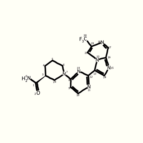 NC(=O)[C@H]1CCCN(c2ccnc(-c3cnc4cnc(C(F)(F)F)cn34)n2)C1